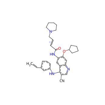 C=Cc1cccc(Nc2c(C#N)cnc3cc(OC4CCCC4)c(NC(=O)/C=C/CN4CCCCC4)cc23)c1